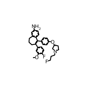 COc1cc(C2=C(c3ccc(O[C@H]4CCN(CCCF)C4)cc3)c3ccc(N)cc3CCC2)ccc1F